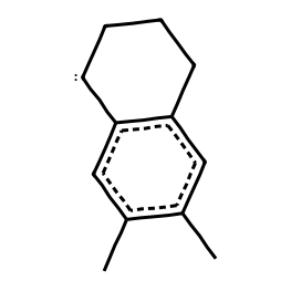 Cc1cc2c(cc1C)CCC[C]2